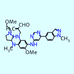 C=C(C=O)CNc1cc(Nc2cc(-c3ccc4c(cnn4C)c3)ncn2)c(OC)cc1N(C)C1CCN(CCOC)C1